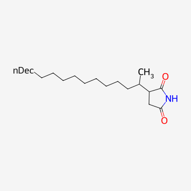 CCCCCCCCCCCCCCCCCCCC(C)C1CC(=O)NC1=O